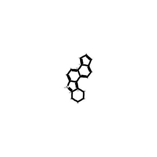 C1=Cc2ccc3c4c(ccc3c2=C1)N=C1CCCCC=41